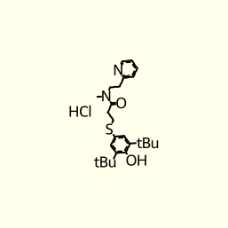 CN(CCc1ccccn1)C(=O)CCSc1cc(C(C)(C)C)c(O)c(C(C)(C)C)c1.Cl